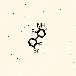 Nc1cccc(-c2cccc(Br)c2F)c1F